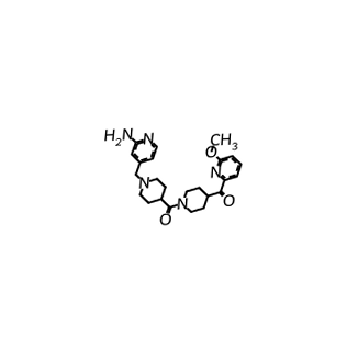 COc1cccc(C(=O)C2CCN(C(=O)C3CCN(Cc4ccnc(N)c4)CC3)CC2)n1